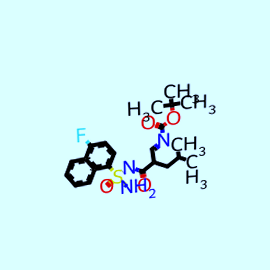 CC(C)CC(C=NC(=O)OC(C)(C)C)C(=O)N=S(N)(=O)c1ccc(F)c2ccccc12